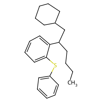 CCCCC(CC1CCCCC1)c1ccccc1Sc1ccccc1